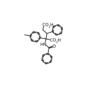 Cc1ccc(C(NC(=O)c2ccccc2)(C(=O)O)C(CC(=O)O)c2ccccc2)cc1